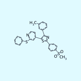 Cc1cccc(-c2nc(-c3ccc(S(C)(=O)=O)cc3)sc2-c2ccnc(Sc3ccccc3)c2)c1